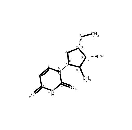 CC[C@H]1C[C@@H](n2ccc(=O)[nH]c2=O)C(C)[C@H]1I